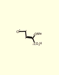 CO/C(=C\CCl)C(=O)O